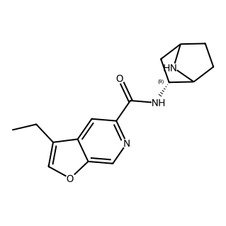 CCc1coc2cnc(C(=O)N[C@@H]3CC4CCC3N4)cc12